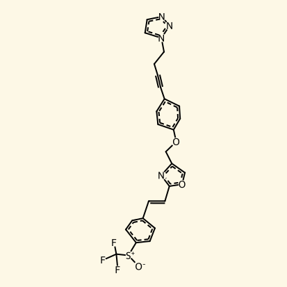 [O-][S+](c1ccc(C=Cc2nc(COc3ccc(C#CCCn4ccnn4)cc3)co2)cc1)C(F)(F)F